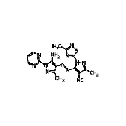 [C-]#[N+]c1c(C)nn(-c2nc(C)ns2)c1/N=N/c1c(C)nn(-c2ncccn2)c1N